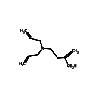 C=CCN(CC=C)CCC(=C)C(=O)O